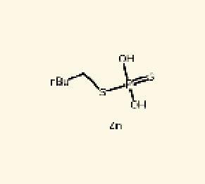 CCCCCSP(O)(O)=S.[Zn]